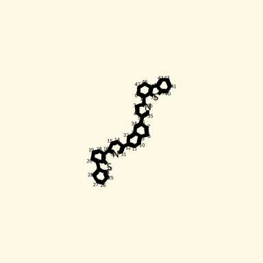 C1=C(c2ccc(-c3ccc4ccc(-c5ccc(-c6cccc7c6sc6ccccc67)nc5)cc4c3)cn2)c2sc3ccccc3c2CC1